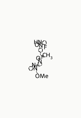 COCCCn1c([C@@H]2CCCN(C(=O)C[C@H](C)Cc3ccc(-n4c(=O)[nH]c5cccc(F)c54)cc3)C2)nc2ccccc21